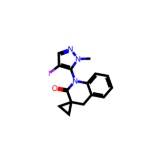 Cn1ncc(I)c1N1C(=O)C2(CC2)Cc2ccccc21